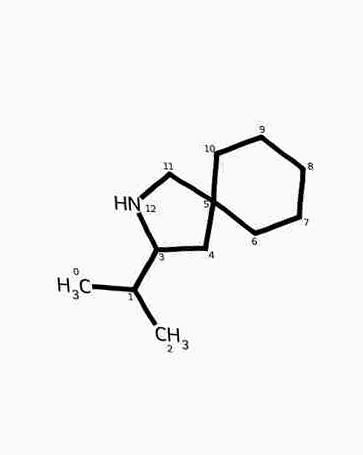 CC(C)C1CC2(CCCCC2)CN1